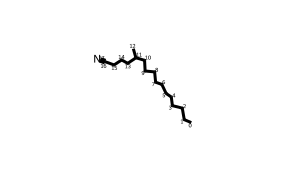 CCCCCCCCCCCC(C)CCCC#N